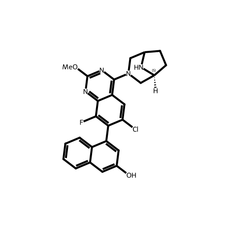 COc1nc(N2CC3CC[C@@H](C2)N3)c2cc(Cl)c(-c3cc(O)cc4ccccc34)c(F)c2n1